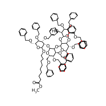 COC(=O)CCCCCCCCO[C@H]1O[C@H](COCc2ccccc2)[C@@H](OCc2ccccc2)[C@H](OCc2ccccc2)[C@@H]1O[C@@H]1O[C@H](COCc2ccccc2)[C@@H](OCc2ccccc2)[C@H](OCc2ccccc2)[C@@H]1O[C@@H]1O[C@H](COCc2ccccc2)[C@@H](OCc2ccccc2)[C@H](OCc2ccccc2)[C@@H]1O[C@@H]1O[C@H](COCc2ccccc2)[C@@H](OCc2ccccc2)[C@H](OCc2ccccc2)[C@@H]1O